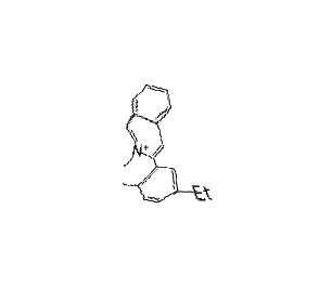 CCc1ccc(C)c(-c2cc3ccccc3c[n+]2C)c1